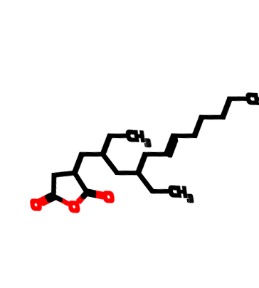 CCCCCC=CCC(CC)CC(CC)CC1CC(=O)OC1=O